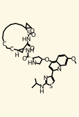 COc1ccc2c(O[C@H]3CN[C@H](C(=O)N[C@]45C[C@H]4CCCCCCCCCC4(CC4)S(=O)(=O)NC5=O)C3)cc(-c3csc(NC(C)C)n3)nc2c1